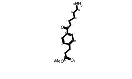 COC(=O)CCc1ccc(C(=O)CCCCCN)cc1